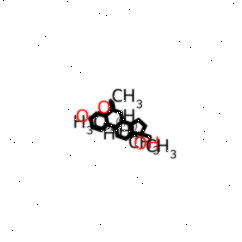 CC=C1C[C@@H]2[C@@H](CC[C@@]3(C)[C@H]2CCC3(O)CC)[C@@]2(C)C=CC(=O)C3OC132